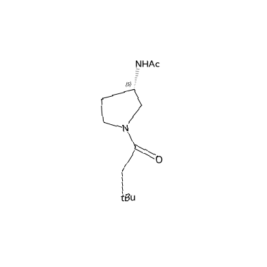 CC(=O)N[C@H]1CCN(C(=O)CC(C)(C)C)C1